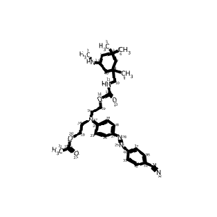 CNC1CC(C)(C)CC(C)(CNC(=O)OCCN(CCOC(C)=O)c2ccc(/N=N/c3ccc(C#N)cc3)cc2)C1